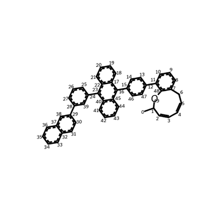 CC1/C=C\C=C/Cc2cccc(-c3ccc(-c4c5ccccc5c(-c5cccc(-c6ccc7ccccc7c6)c5)c5ccccc45)cc3)c2O1